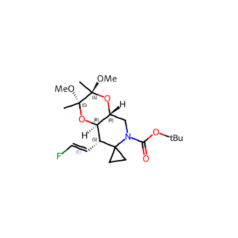 CO[C@@]1(C)O[C@@H]2[C@@H](/C=C/F)C3(CC3)N(C(=O)OC(C)(C)C)C[C@H]2O[C@]1(C)OC